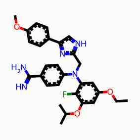 CCOc1cc(OC(C)C)c(F)c(N(Cc2nc(-c3ccc(OC)cc3)c[nH]2)c2ccc(C(=N)N)cc2)c1